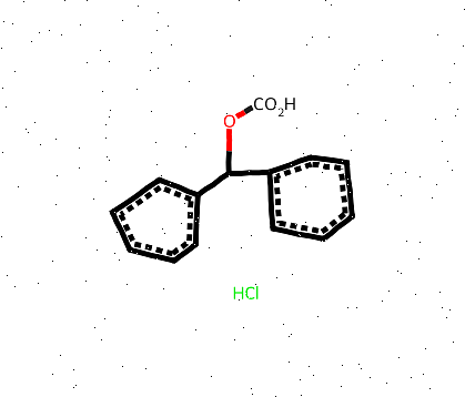 Cl.O=C(O)OC(c1ccccc1)c1ccccc1